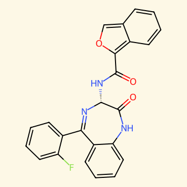 O=C(N[C@H]1N=C(c2ccccc2F)c2ccccc2NC1=O)c1occ2ccccc12